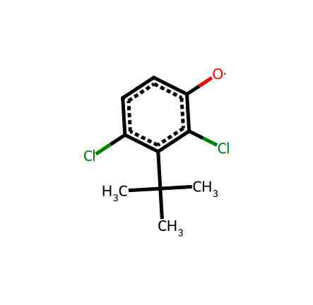 CC(C)(C)c1c(Cl)ccc([O])c1Cl